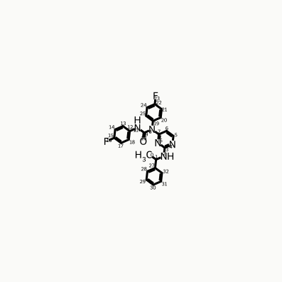 CC(Nc1nccc(N(C(=O)Nc2ccc(F)cc2)c2ccc(F)cc2)n1)c1ccccc1